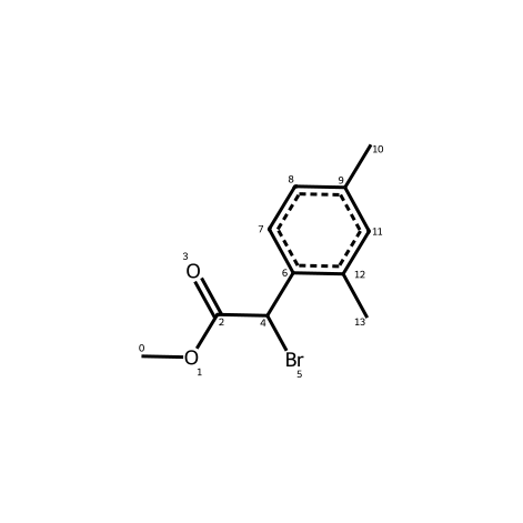 COC(=O)C(Br)c1ccc(C)cc1C